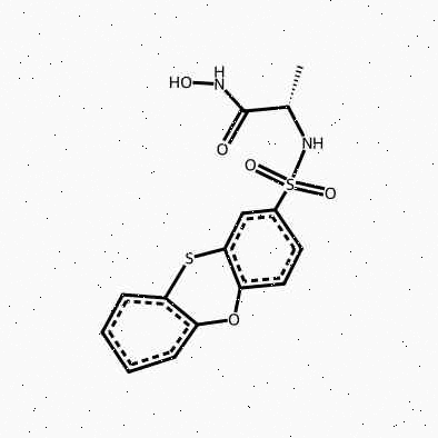 C[C@H](NS(=O)(=O)c1ccc2c(c1)Sc1ccccc1O2)C(=O)NO